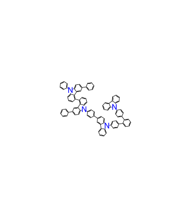 c1ccc(-c2ccc3c(c2)c2c(-c4cccc5c4c4cc(-c6ccccc6)ccc4n5-c4ccc(-c5ccc6c(c5)c5ccccc5n6-c5ccc(-c6ccccc6-c6ccc(-n7c8ccccc8c8ccccc87)cc6)cc5)cc4)cccc2n3-c2ccccc2)cc1